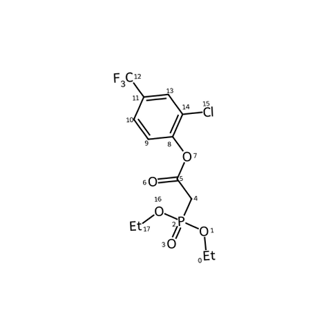 CCOP(=O)(CC(=O)Oc1ccc(C(F)(F)F)cc1Cl)OCC